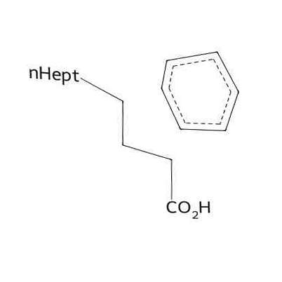 CCCCCCCCCCC(=O)O.c1ccccc1